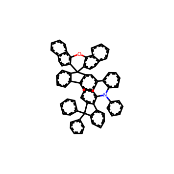 c1ccc(N(c2ccccc2-c2ccc3c(c2)C2(c4ccccc4-3)c3ccc4ccccc4c3Oc3c2ccc2ccccc32)c2cccc3c2-c2ccccc2C3(c2ccccc2)c2ccccc2)cc1